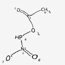 CC(=O)OP[N+](=O)[O-]